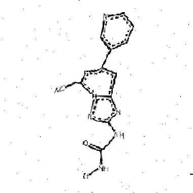 CCNC(=O)Nc1nc2cc(-c3cccnc3)cc(C#N)n2n1